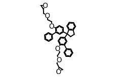 c1ccc(-c2cc(C3(c4ccc(OCCOCC5CO5)c(-c5ccccc5)c4)CCc4ccccc43)ccc2OCCOCC2CO2)cc1